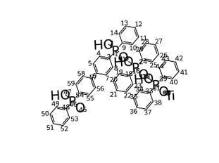 O=P(O)(c1ccccc1)c1ccccc1.O=P(O)(c1ccccc1)c1ccccc1.O=P(O)(c1ccccc1)c1ccccc1.O=P(O)(c1ccccc1)c1ccccc1.[Ti]